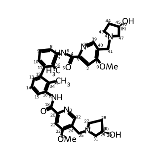 COc1cc(C(=O)Nc2cccc(-c3cccc(NC(=O)c4cc(OC)c(CN5CC[C@@H](O)C5)cn4)c3C)c2C)ncc1CN1CC[C@@H](O)C1